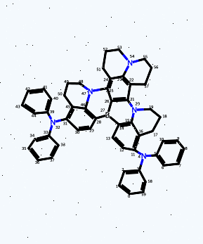 c1ccc(N(c2ccccc2)c2ccc3c4c2CCCN4c2c4c5c(c6c2B3c2ccc(N(c3ccccc3)c3ccccc3)c3c2N6CCC3)CCCN5CCC4)cc1